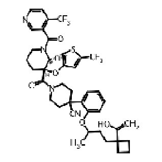 C=C(O)C1(CCC(C)Oc2ccccc2C2(C#N)CCN(C(=O)[C@]3(Oc4csc(C(F)(F)F)c4)CCCN(C(=O)c4cnccc4C(F)(F)F)[C@@H]3CCC)CC2)CCC1